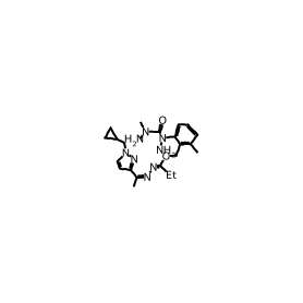 CC/C(=N\N=C(C)c1ccn(CC2CC2)n1)OCc1c(C)cccc1N(N)C(=O)N(C)N